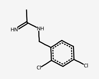 CC(=N)NCc1ccc(Cl)cc1Cl